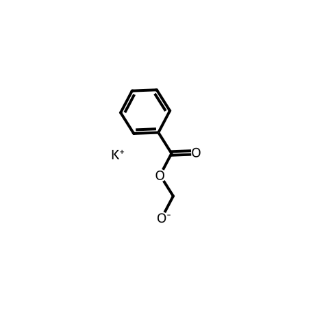 O=C(OC[O-])c1ccccc1.[K+]